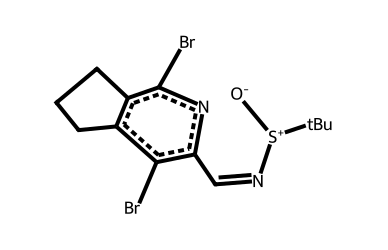 CC(C)(C)[S+]([O-])/N=C\c1nc(Br)c2c(c1Br)CCC2